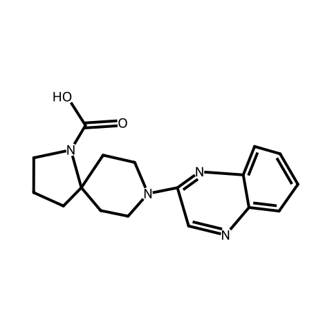 O=C(O)N1CCCC12CCN(c1cnc3ccccc3n1)CC2